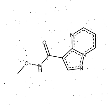 CONC(=O)c1cnn2cccnc12